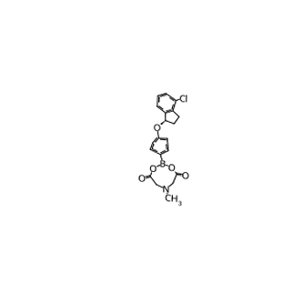 CN1CC(=O)OB(c2ccc(O[C@@H]3CCc4c(Cl)cccc43)cc2)OC(=O)C1